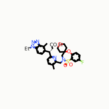 CCn1nnc2c(C)c([C@H](CC(=O)O)c3ccc(C)c(CN4CC5(CCOCC5)Oc5ccc(F)cc5S4(=O)=O)n3)ccc21